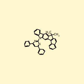 CC1(C)c2cc3c4ccccc4n(-c4nc(-c5ccccc5)cc(-c5ccccc5)n4)c3cc2-c2c1ccc1ccccc21